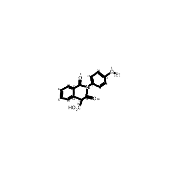 CCOc1ccc(N2C(=O)c3ccccc3C(C(=O)O)C2=O)cc1